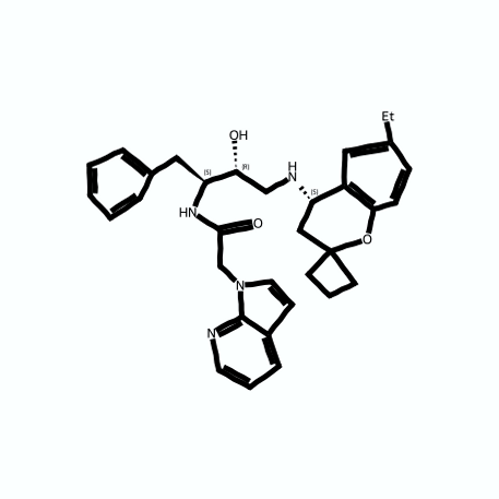 CCc1ccc2c(c1)[C@@H](NC[C@@H](O)[C@H](Cc1ccccc1)NC(=O)Cn1ccc3cccnc31)CC1(CCC1)O2